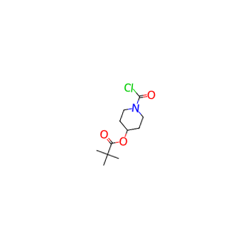 CC(C)(C)C(=O)OC1CCN(C(=O)Cl)CC1